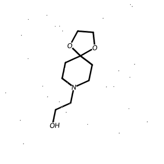 OCCN1CCC2(CC1)OCCO2